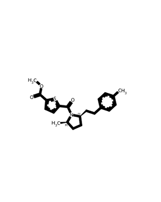 COC(=O)c1ccc(C(=O)N2[C@@H](CCc3ccc(C)cc3)CC[C@H]2C)s1